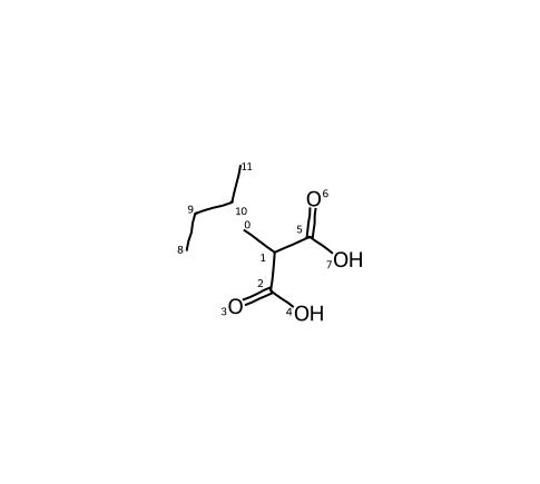 CC(C(=O)O)C(=O)O.CCCC